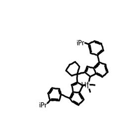 CC(C)c1cccc(-c2cccc3c2C=C2[CH]3[Hf]([CH3])([CH3])[CH]3C(=Cc4c(-c5cccc(C(C)C)c5)cccc43)C23CCCCC3)c1